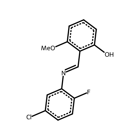 COc1cccc(O)c1C=Nc1cc(Cl)ccc1F